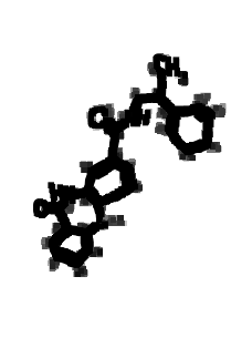 CC(CNC(=O)c1ccc2c(c1)NC(=O)c1ccccc1S2)c1ccccc1